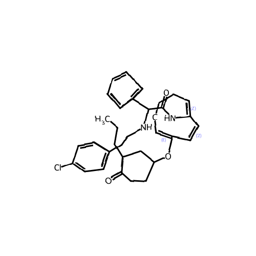 CCCC1CC(OC2=C/CCC/C=C(NC(=O)C(NCCc3ccc(Cl)cc3)c3ccccc3)/C=C\2)CCC1=O